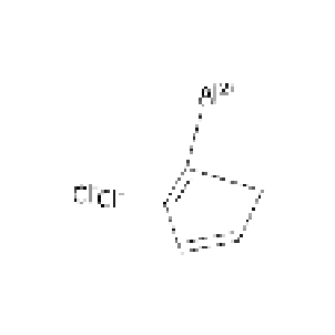 [Al+2][C]1=CC=CC1.[Cl-].[Cl-]